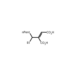 CCCCCC(CC)C(=CC(=O)O)C(=O)O